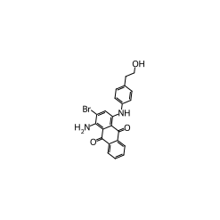 Nc1c(Br)cc(Nc2ccc(CCO)cc2)c2c1C(=O)c1ccccc1C2=O